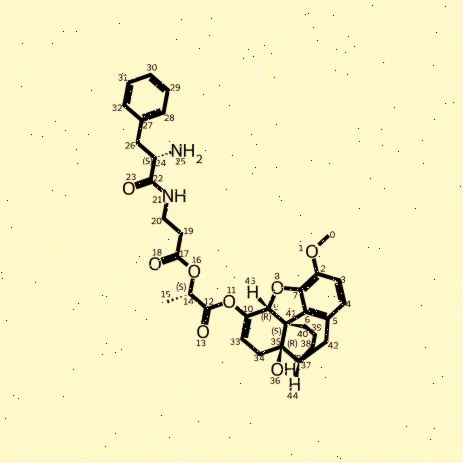 COc1ccc2c3c1O[C@H]1C(OC(=O)[C@H](C)OC(=O)CCNC(=O)[C@@H](N)Cc4ccccc4)=CC[C@@]4(O)[C@H](CCC[C@]314)C2